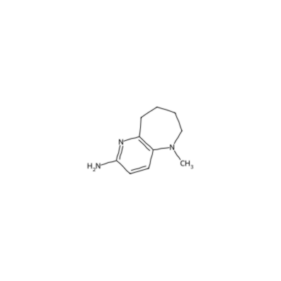 CN1CCCCc2nc(N)ccc21